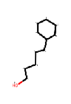 OCCCCCC1C[CH]CCC1